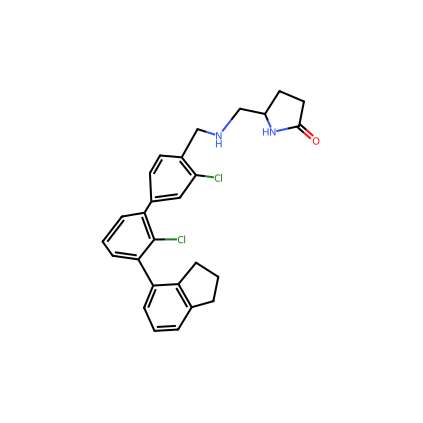 O=C1CCC(CNCc2ccc(-c3cccc(-c4cccc5c4CCC5)c3Cl)cc2Cl)N1